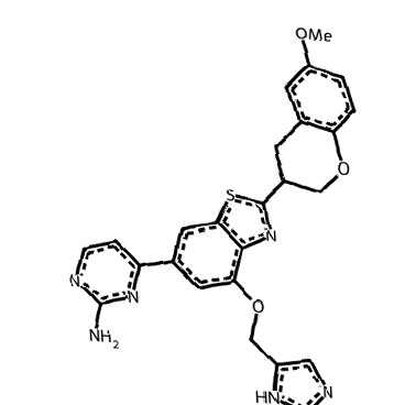 COc1ccc2c(c1)CC(c1nc3c(OCc4cnc[nH]4)cc(-c4ccnc(N)n4)cc3s1)CO2